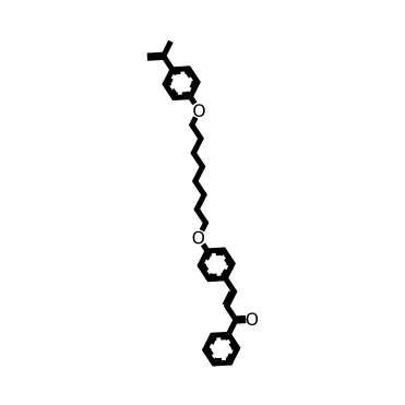 C=C(C)c1ccc(OCCCCCCCCOc2ccc(C=CC(=O)c3ccccc3)cc2)cc1